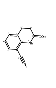 N#Cc1cccc2c1NC(=O)CC2